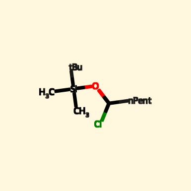 CCCCCC(Cl)O[Si](C)(C)C(C)(C)C